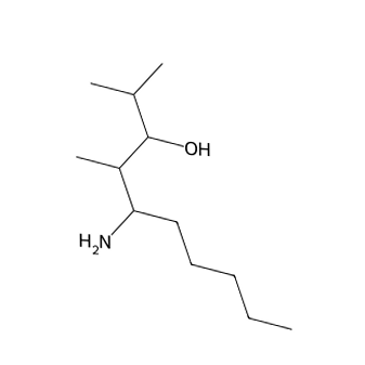 CCCCCC(N)C(C)C(O)C(C)C